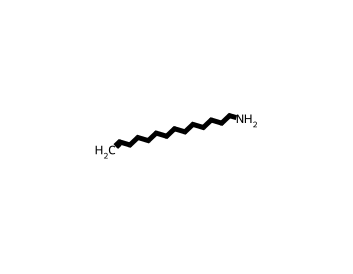 C=CCCCCCCCCCCCCN